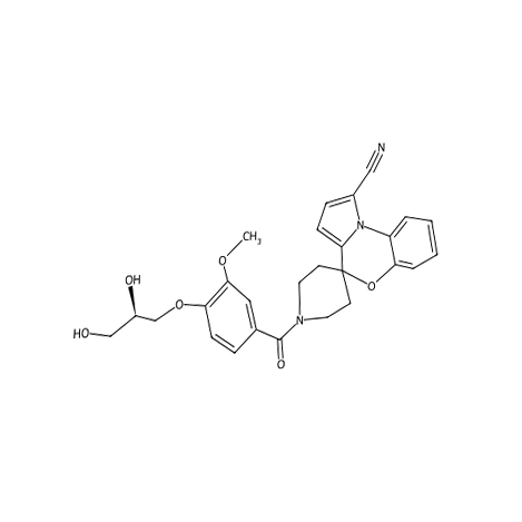 COc1cc(C(=O)N2CCC3(CC2)Oc2ccccc2-n2c(C#N)ccc23)ccc1OC[C@H](O)CO